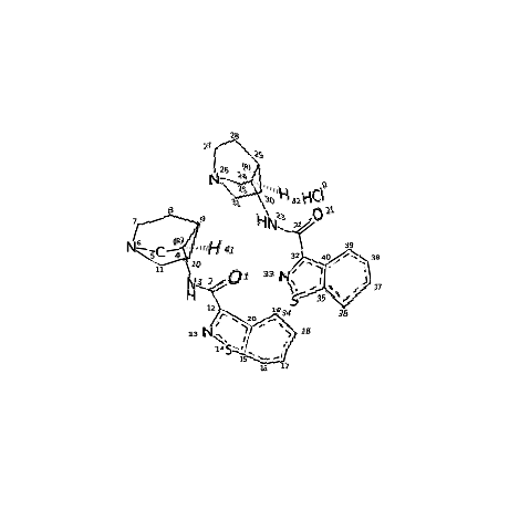 Cl.O=C(N[C@H]1CN2CCC1CC2)c1nsc2ccccc12.O=C(N[C@H]1CN2CCC1CC2)c1nsc2ccccc12